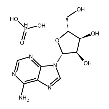 Nc1ncnc2c1ncn2[C@@H]1O[C@H](CO)[C@@H](O)[C@H]1O.O=[PH](O)O